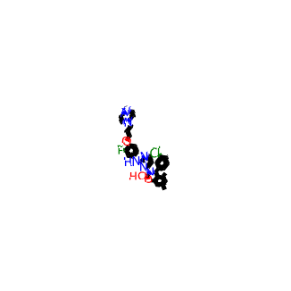 Cc1cc(C)c(C(c2cccc(Cl)c2)N(C(=O)O)c2ccnc(Nc3ccc(OCCCN4CCN(C)CC4)c(F)c3)n2)c(C)c1